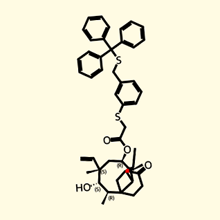 C=C[C@]1(C)C[C@@H](OC(=O)CSc2cccc(CSC(c3ccccc3)(c3ccccc3)c3ccccc3)c2)[C@]2(C)C(C)CC34CC(CCC3=O)(C42)[C@@H](C)[C@@H]1O